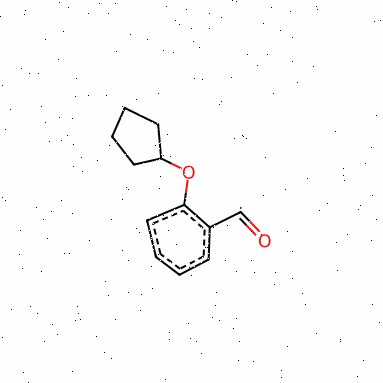 O=[C]c1ccccc1OC1CCCC1